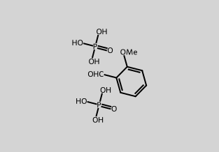 COc1ccccc1C=O.O=P(O)(O)O.O=P(O)(O)O